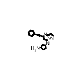 N[C@H]1CC[C@H](Nc2cc(C#Cc3ccccc3)nc3ccnn23)C1